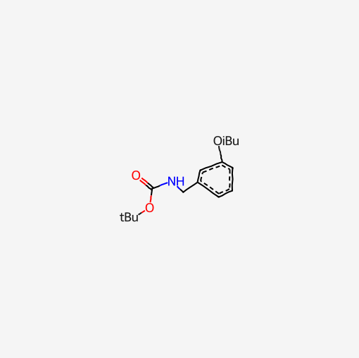 CC(C)COc1cccc(CNC(=O)OC(C)(C)C)c1